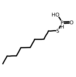 CCCCCCCCS[PH](=O)O